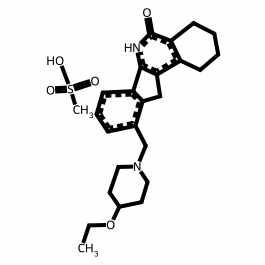 CCOC1CCN(Cc2cccc3c2Cc2c-3[nH]c(=O)c3c2CCCC3)CC1.CS(=O)(=O)O